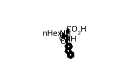 CCCCCCNC(=O)[C@H](CCC(=O)O)NC(=O)c1ccc2c(c1)Cc1ccccc1-2